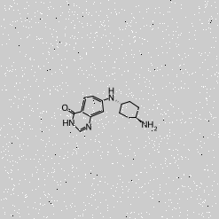 N[C@H]1CC[C@H](Nc2ccc3c(=O)[nH]cnc3c2)CC1